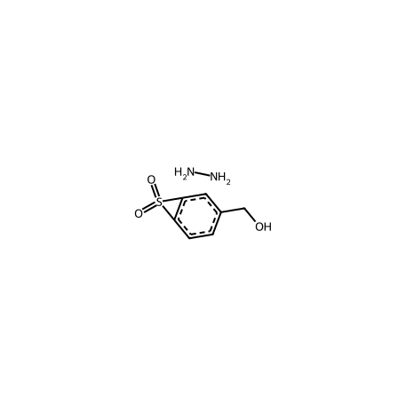 NN.O=S1(=O)c2ccc(CO)cc21